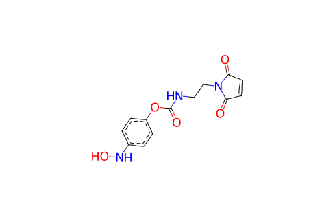 O=C(NCCN1C(=O)C=CC1=O)Oc1ccc(NO)cc1